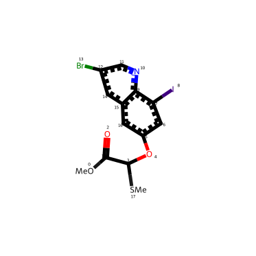 COC(=O)C(Oc1cc(I)c2ncc(Br)cc2c1)SC